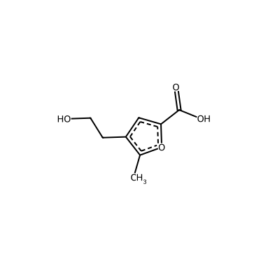 Cc1oc(C(=O)O)cc1CCO